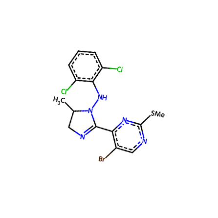 CSc1ncc(Br)c(C2=NCC(C)N2Nc2c(Cl)cccc2Cl)n1